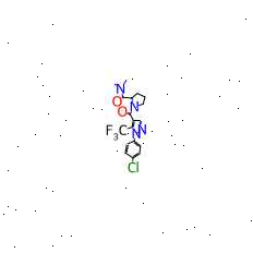 CN(C)C(=O)C1CCCN1C(=O)c1cnn(-c2ccc(Cl)cc2)c1C(F)(F)F